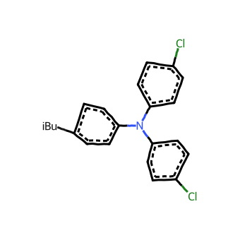 CCC(C)c1ccc(N(c2ccc(Cl)cc2)c2ccc(Cl)cc2)cc1